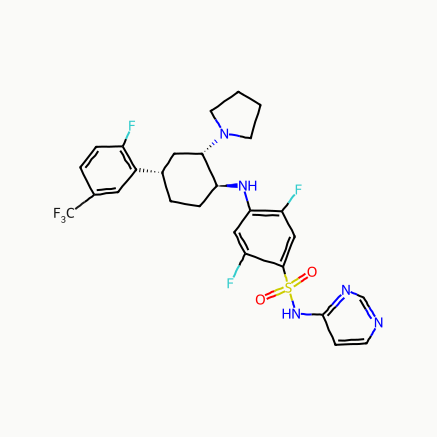 O=S(=O)(Nc1ccncn1)c1cc(F)c(N[C@H]2CC[C@H](c3cc(C(F)(F)F)ccc3F)C[C@@H]2N2CCCC2)cc1F